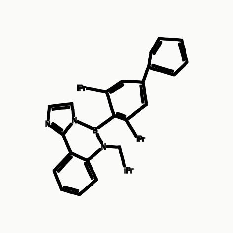 CC(C)CN1B(c2c(C(C)C)cc(-c3ccccc3)cc2C(C)C)n2ccnc2-c2ccccc21